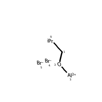 CC(C)C[O][Al+2].[Br-].[Br-]